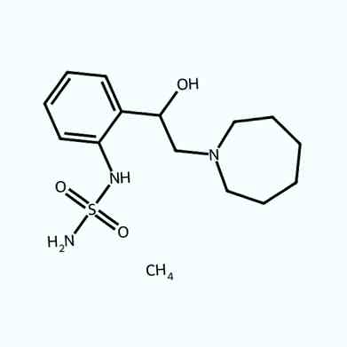 C.NS(=O)(=O)Nc1ccccc1C(O)CN1CCCCCC1